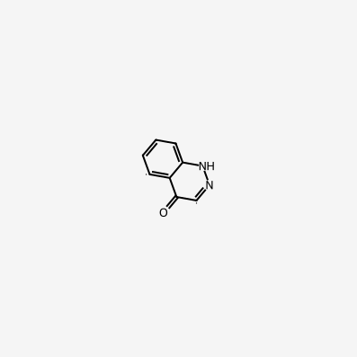 O=c1[c]n[nH]c2ccc[c]c12